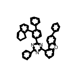 C1=Cc2cccc(-c3cc(-c4nc(-c5ccccc5)nc(-c5cccc6oc7cc(-c8ccccc8)ccc7c56)n4)ccc3-c3ccccc3)c2CC1